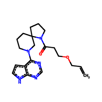 C=CCOCCC(=O)N1CCCC12CCCN(c1ncnc3[nH]ccc13)C2